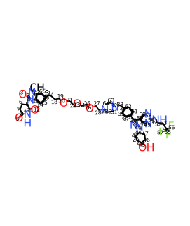 Cn1c(=O)n([C@H]2CCC(=O)NC2=O)c2ccc(CCCOCCOCCOCCN3CCN(Cc4ccc(-c5nn([C@H]6CC[C@H](O)CC6)c6nc(NCCC(F)(F)F)ncc56)cc4)CC3)cc21